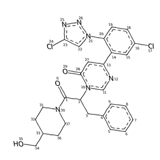 O=C(C(Cc1ccccc1)n1cnc(-c2cc(Cl)ccc2-n2cc(Cl)nn2)cc1=O)N1CCC(CO)CC1